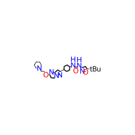 CC(C)(C)c1cc(NC(=O)Nc2ccc(-c3cc4nc(OCCN5CCCCC5)ccn4n3)cc2)no1